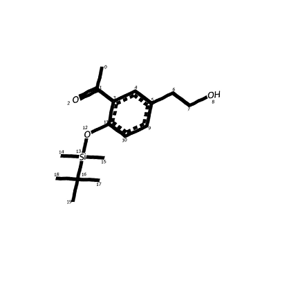 CC(=O)c1cc(CCO)ccc1O[Si](C)(C)C(C)(C)C